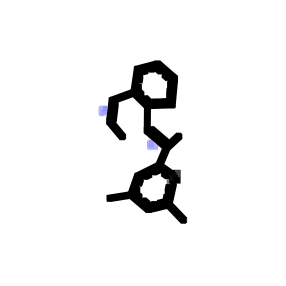 C/C=C\c1ccccc1/C=C(\C)c1cc(C)cc(C)n1